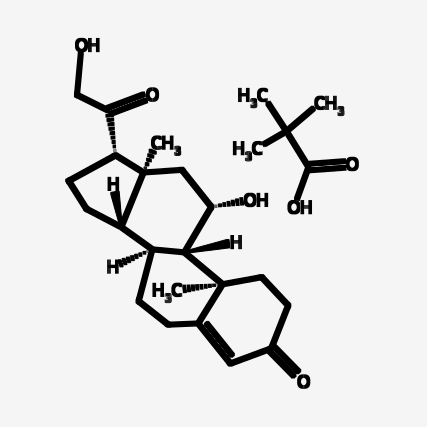 CC(C)(C)C(=O)O.C[C@]12C[C@H](O)[C@H]3[C@@H](CCC4=CC(=O)CC[C@@]43C)[C@@H]1CC[C@@H]2C(=O)CO